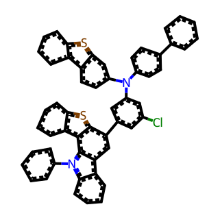 Clc1cc(-c2cc3c4ccccc4n(-c4ccccc4)c3c3c2sc2ccccc23)cc(N(c2ccc(-c3ccccc3)cc2)c2ccc3c(c2)sc2ccccc23)c1